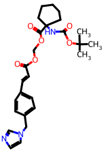 CC(C)(C)OC(=O)NC1(C(=O)OCOC(=O)/C=C/c2ccc(Cn3ccnc3)cc2)CCCCC1